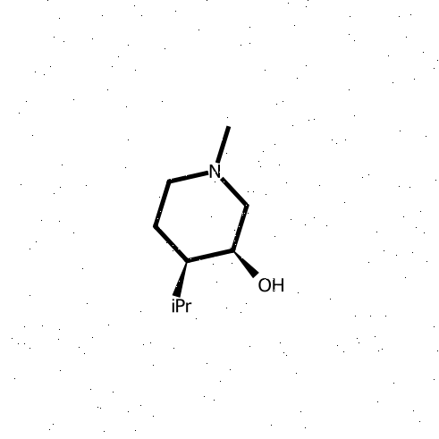 CC(C)[C@H]1CCN(C)C[C@H]1O